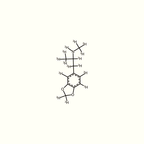 [2H]c1c([2H])c(C([2H])([2H])C([2H])(N([2H])C([2H])([2H])[2H])C([2H])([2H])[2H])c([2H])c2c1OC([2H])([2H])O2